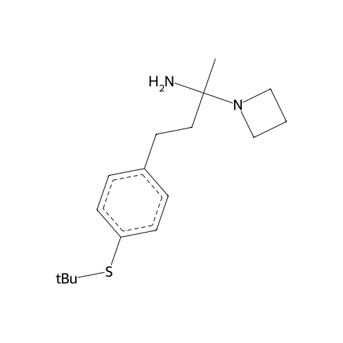 CC(C)(C)Sc1ccc(CCC(C)(N)N2CCC2)cc1